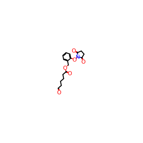 O=CCCCCC(=O)OCc1ccccc1ON1C(=O)CCC1=O